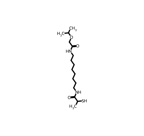 CC(C)OCC(=O)NCCCCCCCCNC(=O)C(C)S